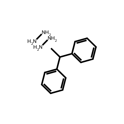 CC(c1ccccc1)c1ccccc1.NN.NN